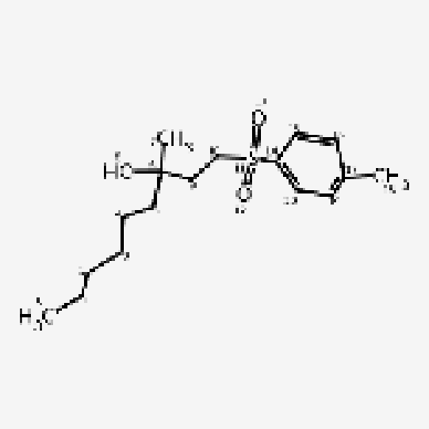 CCCCCCC(C)(O)CCS(=O)(=O)c1ccc(C)cc1